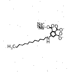 CCCCCCCCCCCCCNc1cc(C(=O)[O-])c(C(=O)[O-])c(C(=O)[O-])c1.[Na+].[Na+].[Na+]